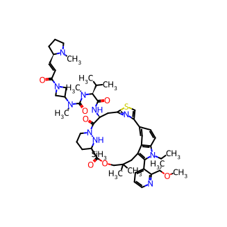 CCn1c(-c2cccnc2[C@H](C)OC)c2c3cc(ccc31)-c1csc(n1)C[C@H](NC(=O)[C@H](C(C)C)N(C)C(=O)N(C)C1CN(C(=O)/C=C/[C@H]3CCCN3C)C1)C(=O)N1CCC[C@@]([SiH3])(N1)C(=O)OCC(C)(C)C2